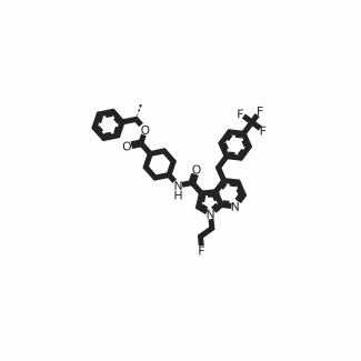 C[C@H](OC(=O)C1CCC(NC(=O)c2cn(CCF)c3nccc(Cc4ccc(C(F)(F)F)cc4)c23)CC1)c1ccccc1